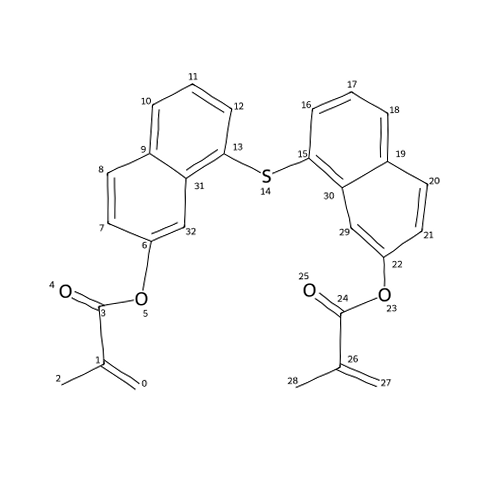 C=C(C)C(=O)Oc1ccc2cccc(Sc3cccc4ccc(OC(=O)C(=C)C)cc34)c2c1